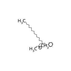 CCCCCCCCCCCCCCC(C)(CCc1ccccc1)CC(=O)CC